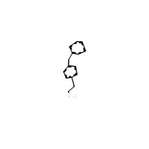 OCCc1ccc(Cc2ccccc2)cc1